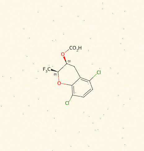 O=C(O)O[C@H]1Cc2c(Cl)ccc(Cl)c2O[C@H]1C(F)(F)F